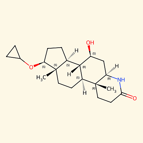 C[C@]12CCC(=O)N[C@@H]1C[C@H](O)[C@@H]1[C@@H]2CC[C@]2(C)[C@@H](OC3CC3)CC[C@@H]12